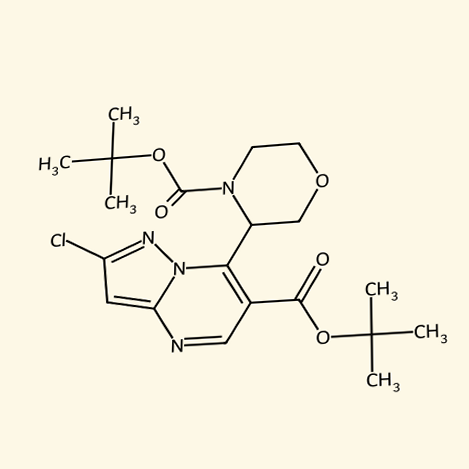 CC(C)(C)OC(=O)c1cnc2cc(Cl)nn2c1C1COCCN1C(=O)OC(C)(C)C